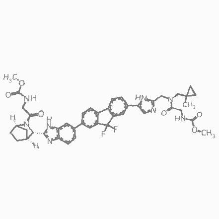 COC(=O)NCC(=O)N(Cc1ncc(-c2ccc3c(c2)C(F)(F)c2cc(-c4ccc5nc([C@@H]6[C@H]7CC[C@H](C7)N6C(=O)CNC(=O)OC)[nH]c5c4)ccc2-3)[nH]1)CC1(C)CC1